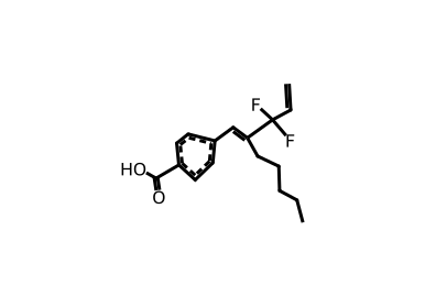 C=CC(F)(F)/C(=C/c1ccc(C(=O)O)cc1)CCCCC